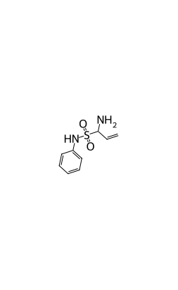 C=CC(N)S(=O)(=O)Nc1ccccc1